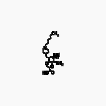 CCCCCCN1CCC(Cc2cc(Cl)c(N)c3c2OCC(C(=O)O)O3)CC1.Cl